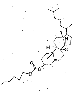 CCCCCCOC(=O)O[C@H]1CC[C@@]2(C)C(=CC[C@H]3[C@@H]4CC[C@H](C(C)CCCC(C)C)[C@@]4(C)CC[C@@H]32)C1